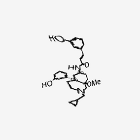 CO[C@]12CC[C@H](NC(=O)C=Cc3cccc(O)c3)C[C@]1(c1cccc(O)c1)CCN(CC1CC1)C2